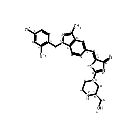 Cc1nn(Cc2ccc(Cl)cc2C(F)(F)F)c2ccc(/C=C3\SC(N4CCN[C@H](CO)C4)=NC3=O)cc12